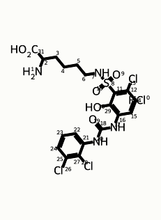 Cl.NC(CCCCNS(=O)(=O)c1c(Cl)ccc(NC(=O)Nc2cccc(Cl)c2Cl)c1O)C(=O)O